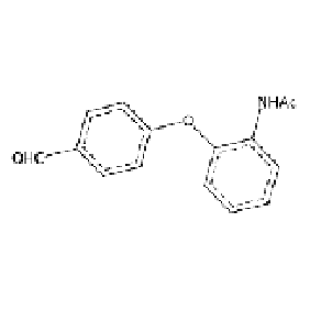 CC(=O)Nc1ccccc1Oc1ccc(C=O)cc1